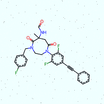 CC1(NC=O)CC(=O)N(c2c(F)cc(C#Cc3ccccc3)cc2F)CCN(Cc2ccc(F)cc2)C1=O